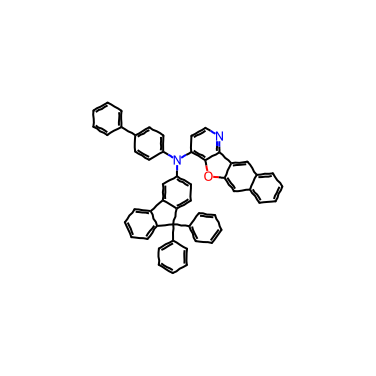 c1ccc(-c2ccc(N(c3ccc4c(c3)-c3ccccc3C4(c3ccccc3)c3ccccc3)c3ccnc4c3oc3cc5ccccc5cc34)cc2)cc1